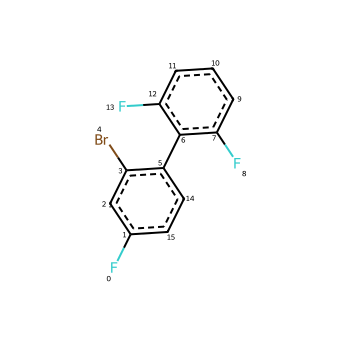 Fc1[c]c(Br)c(-c2c(F)cccc2F)cc1